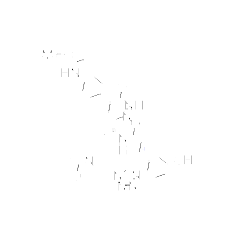 COC(=O)Nc1ccc(-c2cc([C@H](CC3CCCN(C(=O)I)C3)NC(=O)/C=C/c3cc(C)ccc3-n3cnnn3)n[nH]c2=O)cc1